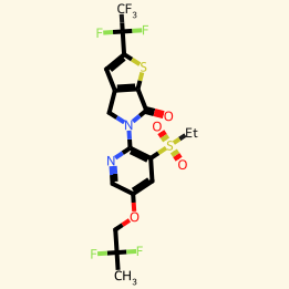 CCS(=O)(=O)c1cc(OCC(C)(F)F)cnc1N1Cc2cc(C(F)(F)C(F)(F)F)sc2C1=O